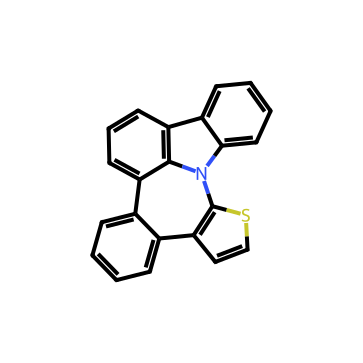 c1ccc2c(c1)-c1ccsc1-n1c3ccccc3c3cccc-2c31